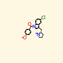 COc1ccc(C(=O)n2cc(C[C@H]3CCCN3C)c3cc(Cl)ccc32)cc1